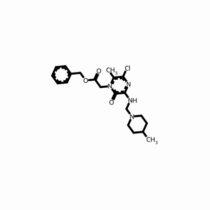 Cc1c(Cl)nc(NCN2CCC(C)CC2)c(=O)n1CC(=O)OCc1ccccc1